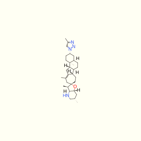 CC1=C2C[C@H]3[C@@H](CC[C@@H]4C[C@@H](n5cc(C)nn5)CC[C@@]43C)[C@@H]2CC[C@@]2(C1)O[C@@H]1C[C@H](C)CN[C@H]1[C@H]2C